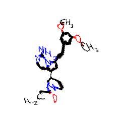 C=CC(=O)N1CC[C@H](c2cc(C#Cc3cc(OC)cc(OC)c3)n3c(N)nccc23)C1